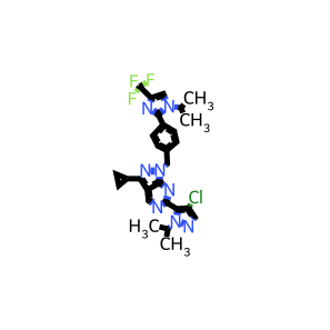 CC(C)n1cc(C(F)(F)F)nc1-c1ccc(Cn2nc(C3CC3)c3cnc(-c4c(Cl)cnn4C(C)C)nc32)cc1